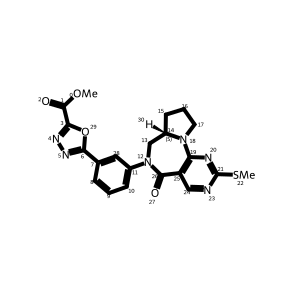 COC(=O)c1nnc(-c2cccc(N3C[C@@H]4CCCN4c4nc(SC)ncc4C3=O)c2)o1